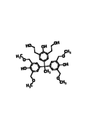 COCc1cc(C(C)(c2cc(CCO)c(O)c(CCO)c2)c2cc(COC)c(O)c(COC)c2)cc(COC)c1O